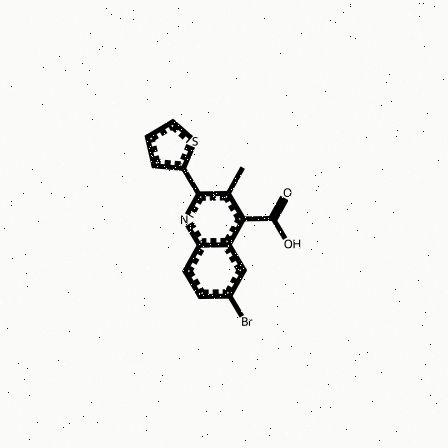 Cc1c(-c2cccs2)nc2ccc(Br)cc2c1C(=O)O